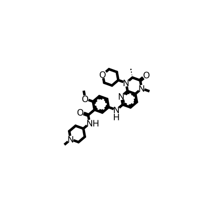 COc1ccc(Nc2ccc3c(n2)N(C2CCOCC2)[C@H](C)C(=O)N3C)cc1C(=O)NC1CCN(C)CC1